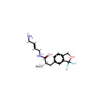 CO[C@@H](Cc1ccc2c(c1)C(F)(F)OC2)C(=O)NC/C=C/CN